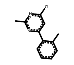 Cc1nc(Cl)cc(-c2ccccc2C)n1